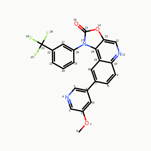 COc1cncc(-c2ccc3ncc4oc(=O)n(-c5cccc(C(F)(F)F)c5)c4c3c2)c1